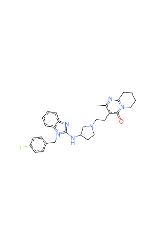 Cc1nc2n(c(=O)c1CCN1CCC(Nc3nc4ccccc4n3Cc3ccc(F)cc3)C1)CCCC2